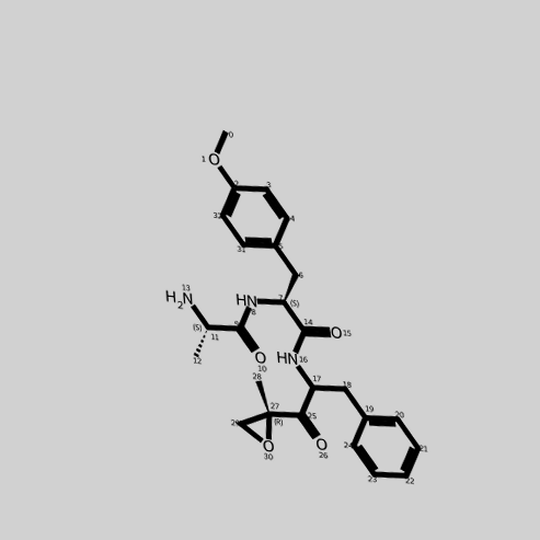 COc1ccc(C[C@H](NC(=O)[C@H](C)N)C(=O)NC(Cc2ccccc2)C(=O)[C@@]2(C)CO2)cc1